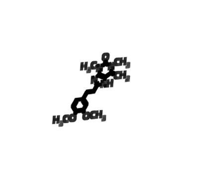 C=C1c2[nH]c(/C=C/c3ccc(OC)c(OC)c3)nc2N(C)C(=O)N1C